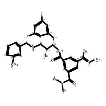 CCCN(CCC)C(=O)c1cc(C(=O)N[C@@H](Cc2cc(F)cc(F)c2)[C@H](O)CNCc2cccc(OC)c2)cc(/C(C)=N/OCC(C)C)c1